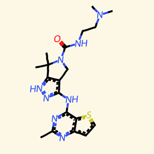 Cc1nc(Nc2n[nH]c3c2CN(C(=O)NCCN(C)C)C3(C)C)c2sccc2n1